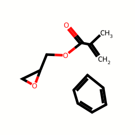 C=C(C)C(=O)OCC1CO1.c1ccccc1